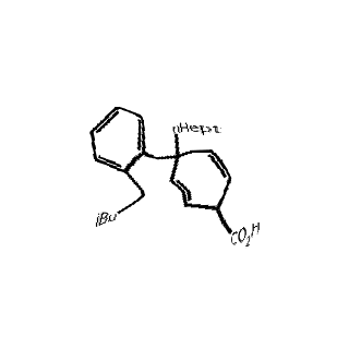 CCCCCCCC1(c2ccccc2CC(C)CC)C=CC(C(=O)O)C=C1